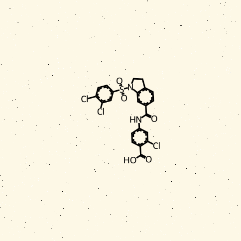 O=C(Nc1ccc(C(=O)O)c(Cl)c1)c1ccc2c(c1)N(S(=O)(=O)c1ccc(Cl)c(Cl)c1)CC2